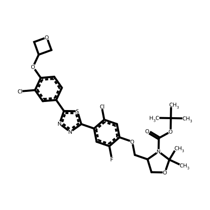 CC(C)(C)OC(=O)N1C(COc2cc(Cl)c(-c3nnc(-c4ccc(OC5COC5)c(Cl)c4)s3)cc2F)COC1(C)C